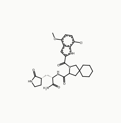 COc1ccc(Cl)c2[nH]c(C(=O)N3CC4(CCCCC4)CC3C(=O)N[C@@H](C[C@@H]3CCNC3=O)C(N)=O)cc12